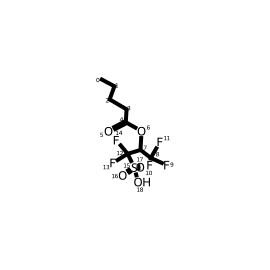 CCCCC(=O)OC(C(F)(F)F)C(F)(F)S(=O)(=O)O